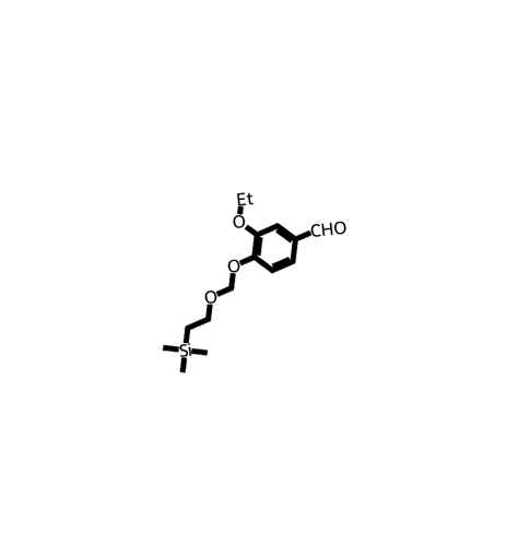 CCOc1cc(C=O)ccc1OCOCC[Si](C)(C)C